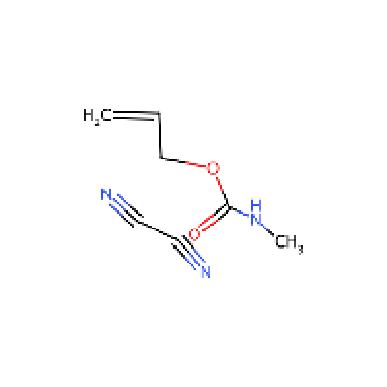 C=CCOC(=O)NC.N#CC#N